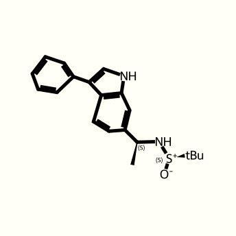 C[C@H](N[S@+]([O-])C(C)(C)C)c1ccc2c(-c3ccccc3)c[nH]c2c1